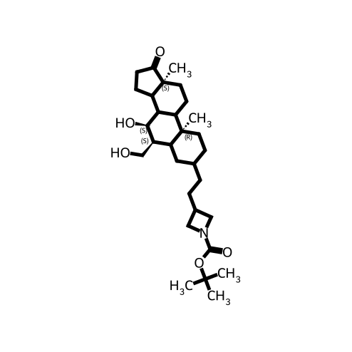 CC(C)(C)OC(=O)N1CC(CCC2CC[C@]3(C)C4CC[C@]5(C)C(=O)CCC5C4[C@H](O)[C@H](CO)C3C2)C1